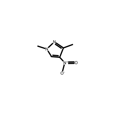 Cc1nn(C)[c]c1[N+](=O)[O-]